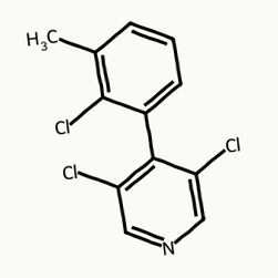 Cc1cccc(-c2c(Cl)cncc2Cl)c1Cl